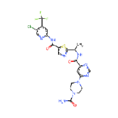 CC(NC(=O)c1cc(N2CCN(C(N)=O)CC2)ncn1)c1ncc(C(=O)Nc2cc(C(F)(F)F)c(Cl)cn2)s1